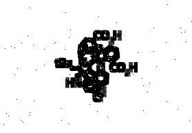 COc1cccc(C(=O)O)c1NC(=O)C1C(c2cccc(Cl)c2F)C2(CNc3cc(Cl)ccc32)C(CC(C)(C)C)N1CC1CCC(C(=O)O)CC1